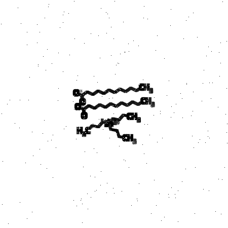 CCCCCCCCCCCC(=O)[O-].CCCCCCCCCCCC(=O)[O-].CCC[CH2][Sn+2]([CH2]CCC)[CH2]CCC